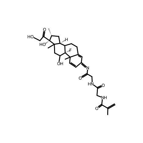 C=C(C)C(=O)NCC(=O)NCC(=O)/N=C1\C=CC2(C)C(=C1)CCC1[C@@H]3C[C@@H](C)[C@](O)(C(=O)CO)C3(C)CC(O)[C@@]12F